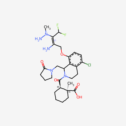 CN(N)/C(=C(\N)COc1ccc(Cl)c2c1C(CN1CCCC1=O)N(C(=O)[C@@H]1CCCC[C@]1(C)C(=O)O)CC2)C(F)F